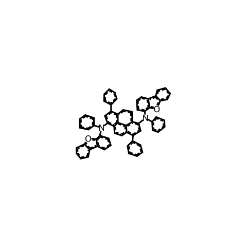 c1ccc(-c2cc(N(c3ccccc3)c3cccc4c3oc3ccccc34)c3ccc4c(-c5ccccc5)cc(N(c5ccccc5)c5cccc6c5oc5ccccc56)c5ccc2c3c45)cc1